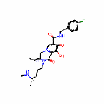 C/C=C1\Cn2cc(C(=O)NCc3ccc(F)cc3)c(=O)c(O)c2C(=O)N1CCC[C@H](C)NC